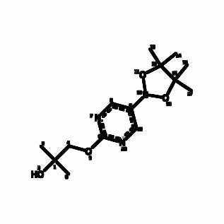 CC(C)(O)COc1ncc(B2OC(C)(C)C(C)(C)O2)cn1